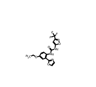 CCOc1ccc(NC(=O)Nc2cc(C(F)(F)F)no2)c(-c2ncco2)c1